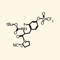 CC(C)(C)OC(=O)NC(Cc1ccc(OS(=O)(=O)C(F)(F)F)cc1F)C(=O)N1CCC[C@H]1C#N